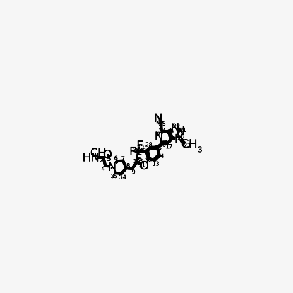 CNC(=O)CN1CCC(CCOc2ccc(-c3cc4c(nnn4C)c(C#N)n3)cc2C(F)(F)F)CC1